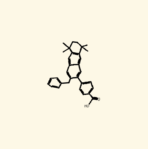 CC1(C)CCC(C)(C)c2cc3cc(-c4ccc(C(=O)O)cc4)c(Cc4ccccc4)cc3cc21